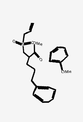 C=CCS(=O)(=O)CC(CCCc1ccccc1)C(=O)OC.COc1ccccc1